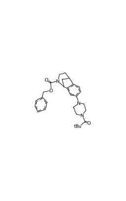 CC(C)(C)C(=O)N1CCN(c2ccc3c(c2)C2CC3CCN2C(=O)OCc2ccccc2)CC1